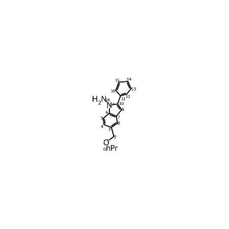 CCCOCc1ccc2c(c1)cc(-c1ccccc1)n2N